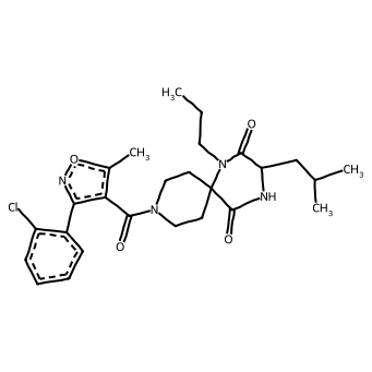 CCCN1C(=O)C(CC(C)C)NC(=O)C12CCN(C(=O)c1c(-c3ccccc3Cl)noc1C)CC2